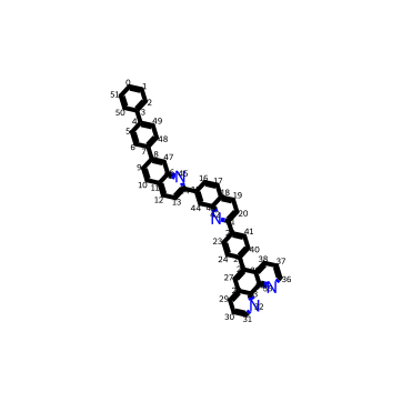 c1ccc(-c2ccc(-c3ccc4ccc(-c5ccc6ccc(-c7ccc(-c8cc9cccnc9c9ncccc89)cc7)nc6c5)nc4c3)cc2)cc1